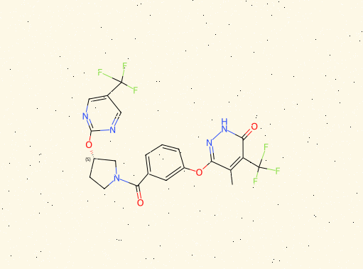 Cc1c(Oc2cccc(C(=O)N3CC[C@H](Oc4ncc(C(F)(F)F)cn4)C3)c2)n[nH]c(=O)c1C(F)(F)F